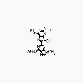 CCOc1nc(N)nc2c1nc(-c1nc(OC)c3ncn(C)c3n1)n2C